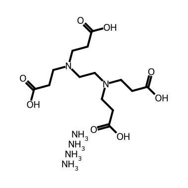 N.N.N.N.O=C(O)CCN(CCC(=O)O)CCN(CCC(=O)O)CCC(=O)O